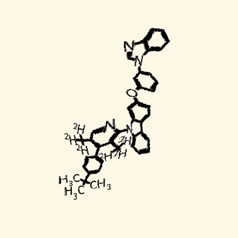 [2H]C([2H])([2H])c1cnc(-n2c3ccccc3c3ccc(Oc4cccc(-n5cnc6ccccc65)c4)cc32)c(C([2H])([2H])[2H])c1-c1ccc(C(C)(C)C)cc1